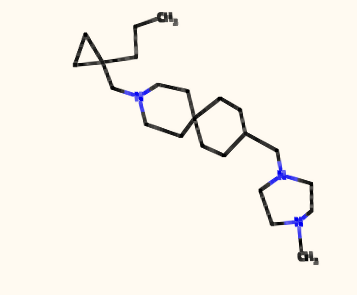 CCCC1(CN2CCC3(CCC(CN4CCN(C)CC4)CC3)CC2)CC1